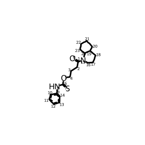 O=C(CCCOC(=S)Nc1ccccc1)N1CCCC2CCCCC21